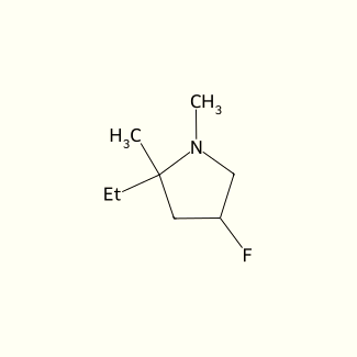 CCC1(C)CC(F)CN1C